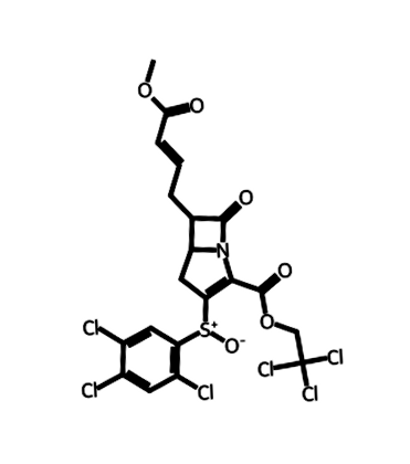 COC(=O)C=CCC1C(=O)N2C(C(=O)OCC(Cl)(Cl)Cl)=C([S+]([O-])c3cc(Cl)c(Cl)cc3Cl)CC12